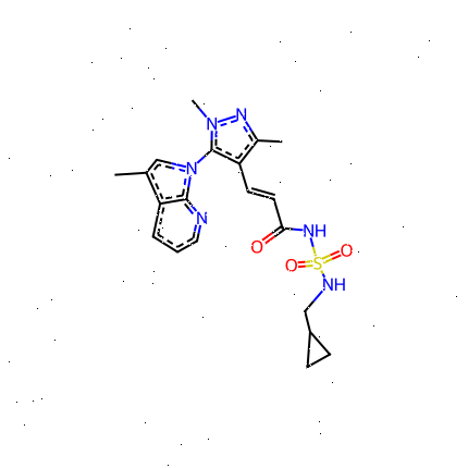 Cc1nn(C)c(-n2cc(C)c3cccnc32)c1C=CC(=O)NS(=O)(=O)NCC1CC1